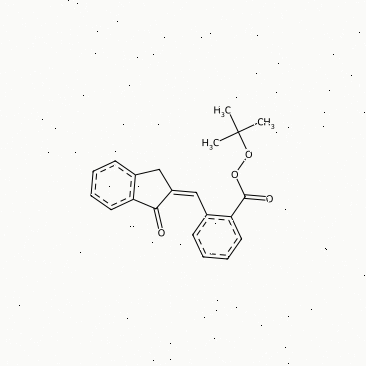 CC(C)(C)OOC(=O)c1ccccc1C=C1Cc2ccccc2C1=O